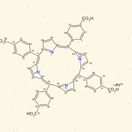 O=C(O)c1ccc(-c2c3nc(c(-c4ccc(C(=O)O)cc4)c4ccc([n-]4)c(-c4ccc(C(=O)O)cc4)c4nc(c(-c5ccc(C(=O)O)cc5)c5ccc2[n-]5)C=C4)C=C3)cc1.[Pt+2]